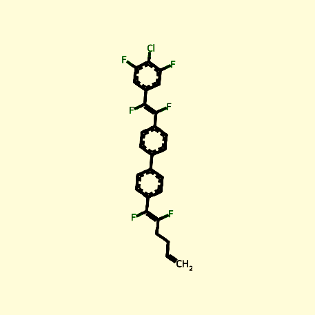 C=CCC/C(F)=C(\F)c1ccc(-c2ccc(/C(F)=C(\F)c3cc(F)c(Cl)c(F)c3)cc2)cc1